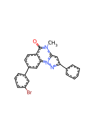 Cn1c(=O)c2ccc(-c3cccc(Br)c3)cc2n2nc(-c3ccccc3)cc12